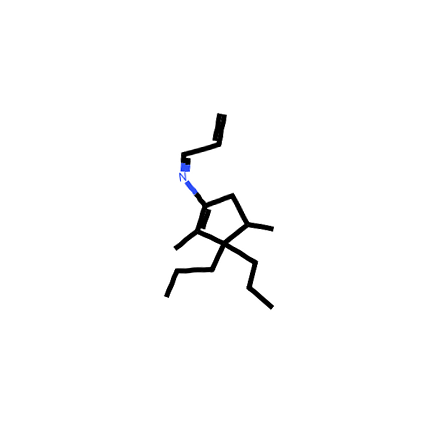 C=C/C=N\C1=C(C)C(CCC)(CCC)C(C)C1